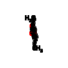 CCCCCCCc1ccc(C(=O)Oc2ccc(OCCCCCC)cc2)cc1